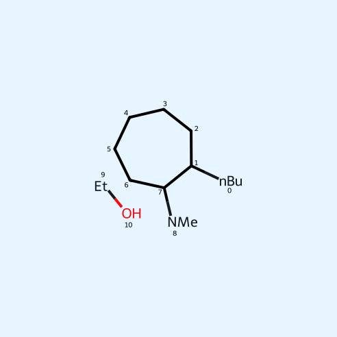 CCCCC1CCCCCC1NC.CCO